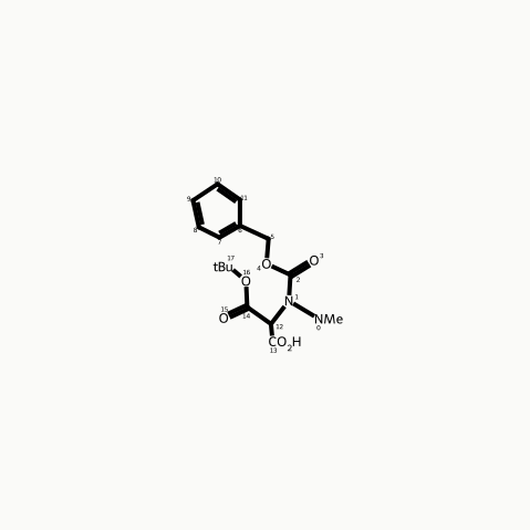 CNN(C(=O)OCc1ccccc1)C(C(=O)O)C(=O)OC(C)(C)C